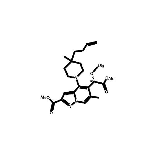 C=CCCC1(C)CCN(c2c([C@H](OC(C)(C)C)C(=O)OC)c(C)cn3nc(C(=O)OC)cc23)CC1